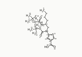 CCCCC(CN(C(=O)OC(C)(C)C)c1nc(C(=O)O)cs1)NC(=O)OC(C)(C)C